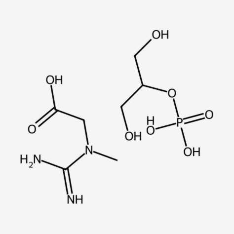 CN(CC(=O)O)C(=N)N.O=P(O)(O)OC(CO)CO